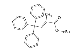 CCCCOC(=O)C(C)=CC(c1ccccc1)(c1ccccc1)c1ccccc1